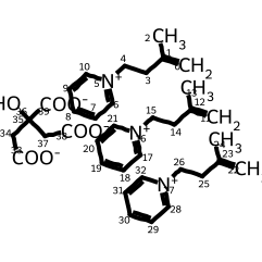 C=C(C)CC[n+]1ccccc1.C=C(C)CC[n+]1ccccc1.C=C(C)CC[n+]1ccccc1.O=C([O-])CC(O)(CC(=O)[O-])C(=O)[O-]